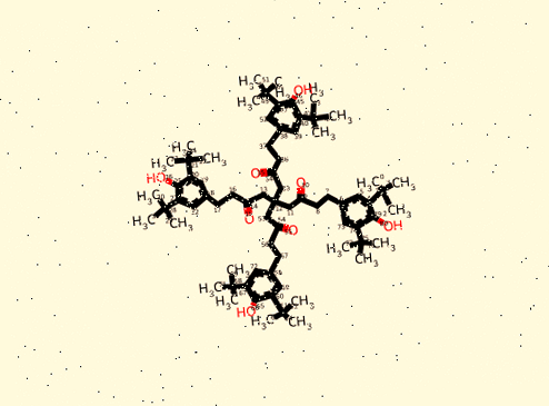 CC(C)(C)c1cc(CCC(=O)CC(CC(=O)CCc2cc(C(C)(C)C)c(O)c(C(C)(C)C)c2)(CC(=O)CCc2cc(C(C)(C)C)c(O)c(C(C)(C)C)c2)CC(=O)CCc2cc(C(C)(C)C)c(O)c(C(C)(C)C)c2)cc(C(C)(C)C)c1O